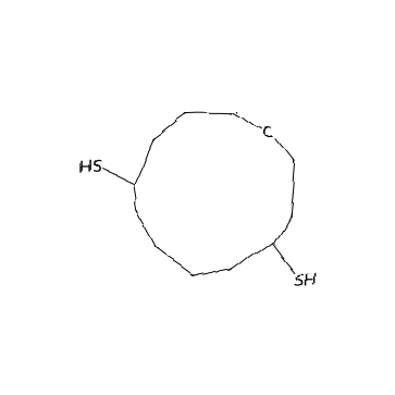 SC1CC[CH]CCCC(S)CCCC1